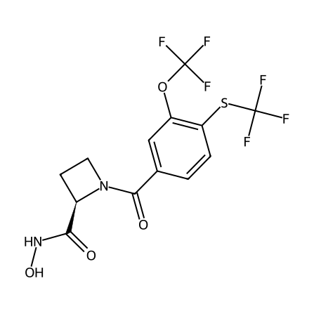 O=C(NO)[C@H]1CCN1C(=O)c1ccc(SC(F)(F)F)c(OC(F)(F)F)c1